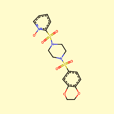 O=S(=O)(c1ccc2c(c1)OCCO2)N1CCN(S(=O)(=O)c2cccc[n+]2[O-])CC1